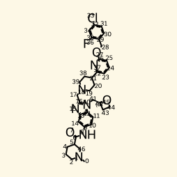 CN1CCCC(C(=O)Nc2ccc3c(c2)nc(CN2CCC(c4cccc(OCc5ccc(Cl)cc5F)n4)CC2)n3C[C@@H]2CCO2)C1